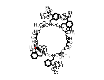 CCO[Si](OCC)(OCC)c1ccccc1CN1CCN(Cc2ccccc2[Si](OCC)(OCC)OCC)CC(C)(C)CNC(=O)C(=O)NCC(C)(C)CN(Cc2ccccc2[Si](OCC)(OCC)OCC)CCN(Cc2ccccc2[Si](OCC)(OCC)OCC)CC(C)(C)CNC(=O)C(=O)NCC(C)(C)C1